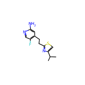 CC(C)c1csc(CCc2cc(N)ncc2F)n1